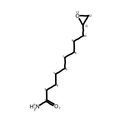 NC(=O)CCCCCCCCC1CO1